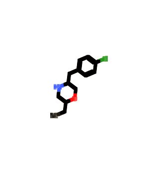 N#CCC1CNC(Cc2ccc(Cl)cc2)CO1